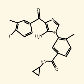 Cc1cc(C(=O)c2ncn(-c3cc(C(=O)NC4CC4)ccc3C)c2N)ccc1F